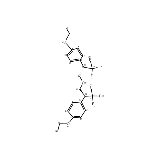 CCOc1ccc([C@@H](COC[C@H](c2ccc(OCC)cc2)C(F)(F)F)C(F)(F)F)cc1